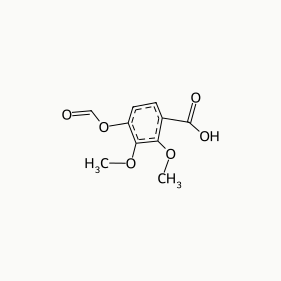 COc1c(OC=O)ccc(C(=O)O)c1OC